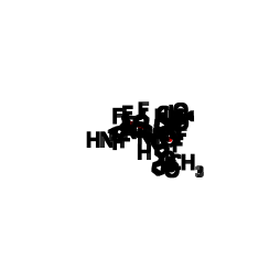 CS(=O)(=O)c1ccccc1-c1ccc2c(=O)n(-c3ccc(Cl)c4c(NS(=O)(=O)C5CC5)nn(CC(F)F)c34)c([C@H](Cc3cc(F)cc(F)c3)NC(=O)Cn3nc(C(F)F)c4c3C(F)(F)C3(C=N)CC43)nc2c1